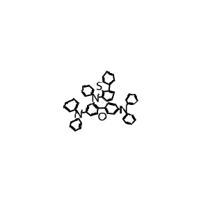 c1ccc(N(c2ccccc2)c2ccc3c(c2)oc2cc(N(c4ccccc4)c4ccccc4)cc(N(c4ccccc4)c4cccc5c4sc4ccccc45)c23)cc1